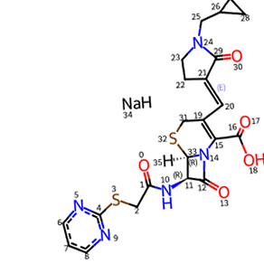 O=C(CSc1ncccn1)N[C@@H]1C(=O)N2C(C(=O)O)=C(/C=C3\CCN(CC4CC4)C3=O)CS[C@H]12.[NaH]